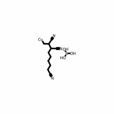 N#CCCCCCC(C#N)C(C#N)[CH2][Cu].OB(O)O